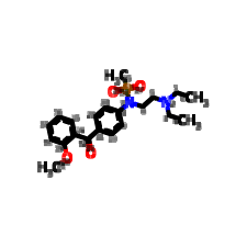 CCN(CC)CCN(c1ccc(C(=O)c2ccccc2OC)cc1)S(C)(=O)=O